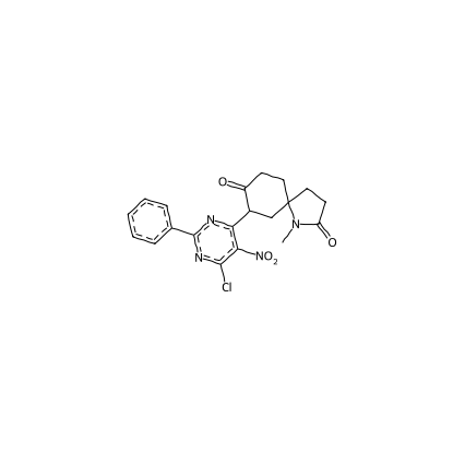 CN1C(=O)CCC12CCC(=O)C(c1nc(-c3ccccc3)nc(Cl)c1[N+](=O)[O-])C2